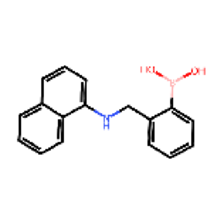 OB(O)c1ccccc1CNc1cccc2ccccc12